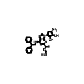 COC(=O)c1nc(NCC(c2ccccc2)c2ccccc2)c2ncn([C@@H]3C[C@H](N)[C@@H](O)[C@H]3O)c2n1.Cl